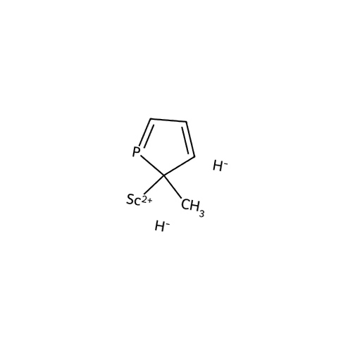 C[C]1([Sc+2])C=CC=P1.[H-].[H-]